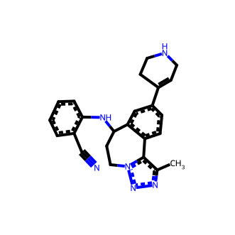 Cc1nnn2c1-c1ccc(C3=CCNCC3)cc1C(Nc1ccccc1C#N)CC2